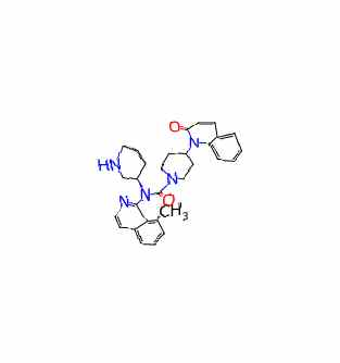 Cc1cccc2ccnc(N(C(=O)N3CCC(n4c(=O)ccc5ccccc54)CC3)[C@@H]3CCCNC3)c12